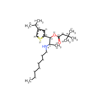 CCCCCCCCNC(C)C(OC(=O)CC(C)(C)C)c1cc(C(C)C)cs1